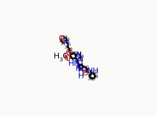 COc1cc2c(Nc3cc(CC(=O)Nc4ccccc4)[nH]n3)ncnc2cc1OCCCN1CCOCC1